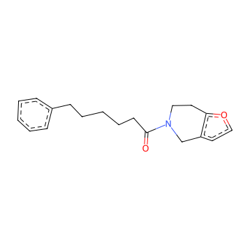 O=C(CCCCCc1ccccc1)N1CCc2occc2C1